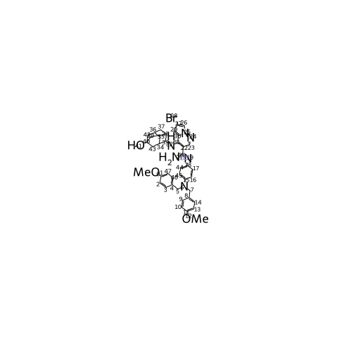 COc1ccc(CN(Cc2ccc(OC)cc2)c2ccc(/N=C(\N)c3cnn4cc(Br)cc4c3NC3C4CC5CC3CC(O)(C5)C4)cc2)cc1